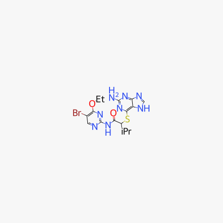 CCOc1nc(NC(=O)C(Sc2nc(N)nc3nc[nH]c23)C(C)C)ncc1Br